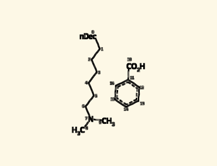 CCCCCCCCCCCCCCCCN(C)C.O=C(O)c1ccccc1